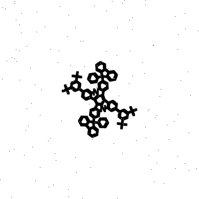 CC(C)(C)c1cc(-c2ccc3c4c5c6ccc(C7(c8ccccc8)c8ccccc8-c8ccccc87)cc6n6c7cc(-c8cc(C(C)(C)C)cc(C(C)(C)C)c8)ccc7c(c7c8ccc(C9(c%10ccccc%10)c%10ccccc%10-c%10ccccc%109)cc8n(c3c2)c47)c56)cc(C(C)(C)C)c1